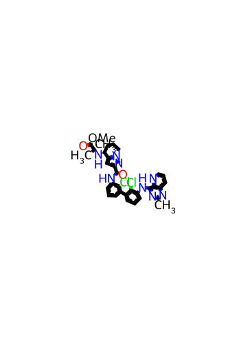 COC(=O)C(C)(C)N[C@@H]1CCCn2nc(C(=O)Nc3cccc(-c4cccc(Nc5nc(C)nc6cccnc56)c4Cl)c3Cl)cc21